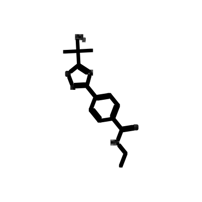 CCNC(=O)c1ccc(-c2noc(C(C)(C)P)n2)cc1